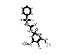 COC1=NC(Cl)(NC(=O)NS(=O)(=O)c2ccccc2)NC(OC)=C1F